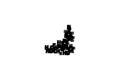 CC(C)(O)C(F)CNC(=O)c1cnc(-c2ccc3cc(C#N)cnn23)cc1N[C@H]1CCC[C@H]1O